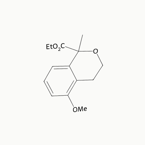 CCOC(=O)C1(C)OCCc2c(OC)cccc21